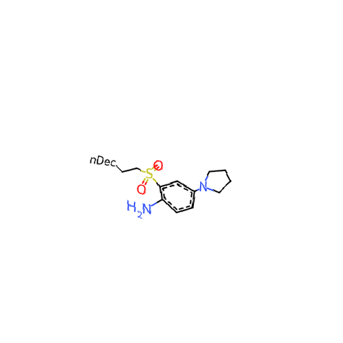 CCCCCCCCCCCCS(=O)(=O)c1cc(N2CCCC2)ccc1N